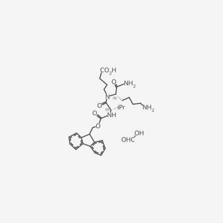 CC(C)[C@H](NC(=O)OCC1c2ccccc2-c2ccccc21)C(=O)N(CCCC(=O)O)[C@@H](CCCCN)C(N)=O.O=CO